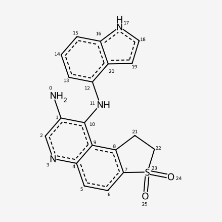 Nc1cnc2ccc3c(c2c1Nc1cccc2[nH]ccc12)CCS3(=O)=O